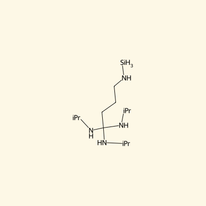 CC(C)NC(CCCN[SiH3])(NC(C)C)NC(C)C